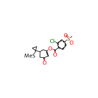 CSC1(C2CC(=O)C=C(OC(=O)c3ccc(S(C)(=O)=O)cc3Cl)C2)CC1